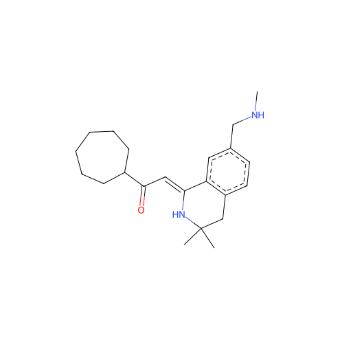 CNCc1ccc2c(c1)C(=CC(=O)C1CCCCCC1)NC(C)(C)C2